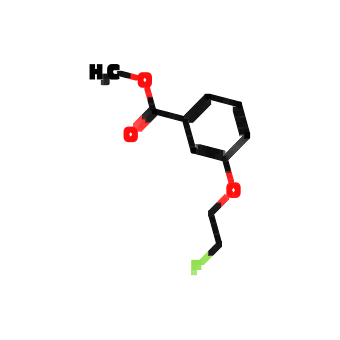 COC(=O)c1cccc(OCCF)c1